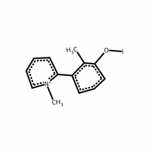 Cc1c(OI)cccc1-c1cccc[n+]1C